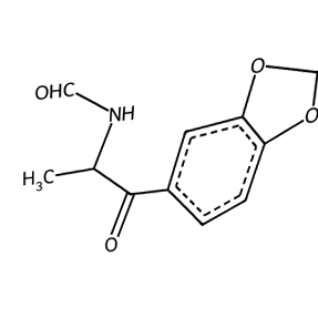 CC(NC=O)C(=O)c1ccc2c(c1)OCO2